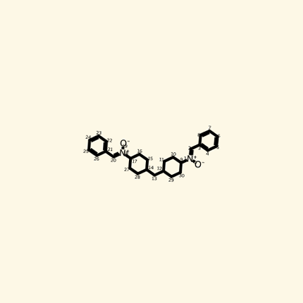 [O-]/[N+](=C\c1ccccc1)C1CCC(CC2CCC(/[N+]([O-])=C/c3ccccc3)CC2)CC1